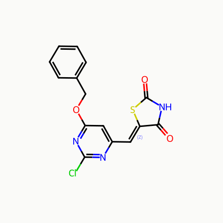 O=C1NC(=O)/C(=C/c2cc(OCc3ccccc3)nc(Cl)n2)S1